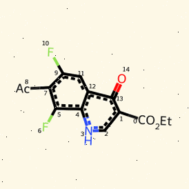 CCOC(=O)c1c[nH]c2c(F)c(C(C)=O)c(F)cc2c1=O